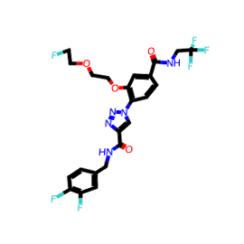 O=C(NCC(F)(F)F)c1ccc(-n2cc(C(=O)NCc3ccc(F)c(F)c3)nn2)c(OCCOCCF)c1